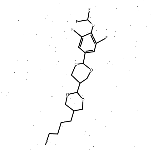 CCCCCC1COC(C2COC(c3cc(F)c(OC(F)F)c(F)c3)OC2)OC1